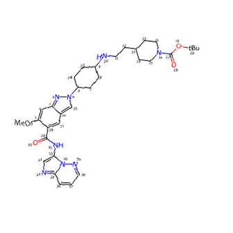 COc1cc2nn(C3CCC(NCCC4CCN(C(=O)OC(C)(C)C)CC4)CC3)cc2cc1C(=O)Nc1cnc2cccnn12